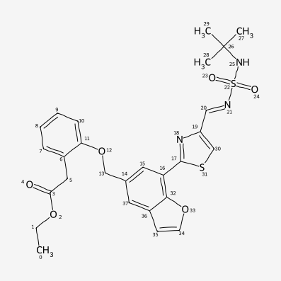 CCOC(=O)Cc1ccccc1OCc1cc(-c2nc(/C=N/S(=O)(=O)NC(C)(C)C)cs2)c2occc2c1